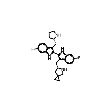 Fc1ccc2c(C[C@@H]3CC4(CC4)CN3)c(-c3[nH]c4cc(F)ccc4c3C[C@@H]3CCCN3)[nH]c2c1